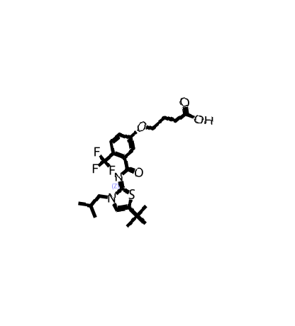 CC(C)Cn1cc(C(C)(C)C)s/c1=N\C(=O)c1cc(OCCCC(=O)O)ccc1C(F)(F)F